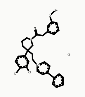 CC(C)Oc1cccc(CC(=O)N2CCCC(CC[n+]3ccc(-c4ccccc4)cc3)(c3ccc(Cl)c(Cl)c3)C2)c1.[Cl-]